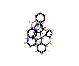 c1ccc2c(c1)Oc1ccccc1N2c1cccc2c1C1(c3ccccc3S2)c2cccnc2-c2ncccc21